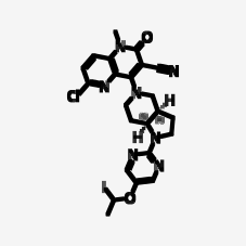 CC(I)Oc1cnc(N2CC[C@@H]3CN(c4c(C#N)c(=O)n(C)c5ccc(Cl)nc45)CC[C@@H]32)nc1